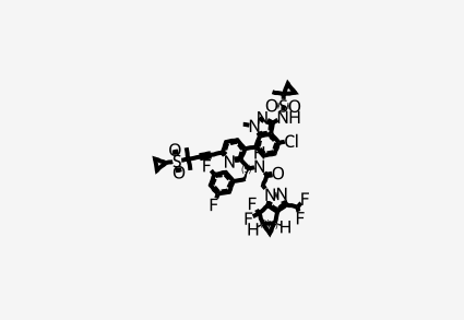 Cn1nc(NS(=O)(=O)C2(C)CC2)c2c(Cl)ccc(-c3ccc(C#CC(C)(C)S(=O)(=O)C4CC4)nc3[C@H](Cc3cc(F)cc(F)c3)NC(=O)Cn3nc(C(F)F)c4c3C(F)(F)[C@@H]3C[C@H]43)c21